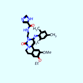 CCOc1cc2c(cc1OC)-c1c/c(=N\c3c(C)cc(C)cc3C)n(CCNC(=O)c3cnc[nH]3)c(=O)n1CC2